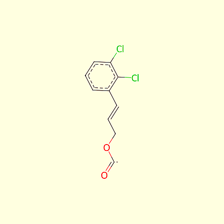 O=[C]OC/C=C/c1cccc(Cl)c1Cl